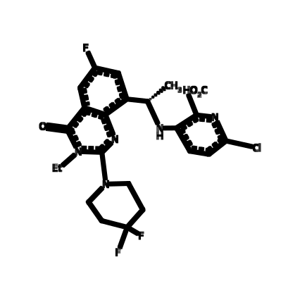 CCn1c(N2CCC(F)(F)CC2)nc2c([C@H](C)Nc3ccc(Cl)nc3C(=O)O)cc(F)cc2c1=O